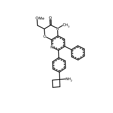 COCC1Oc2nc(-c3ccc(C4(N)CCC4)cc3)c(-c3ccccc3)cc2N(C)C1=O